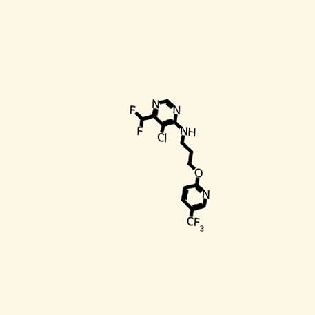 FC(F)c1ncnc(NCCCOc2ccc(C(F)(F)F)cn2)c1Cl